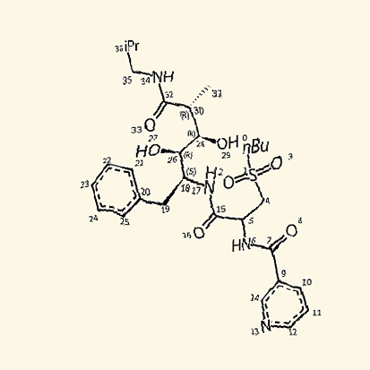 CCCCS(=O)(=O)CC(NC(=O)c1cccnc1)C(=O)N[C@@H](Cc1ccccc1)[C@@H](O)[C@H](O)[C@@H](C)C(=O)NCC(C)C